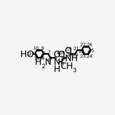 C[C@H](NC(=O)[C@@H](N)Cc1ccc(O)cc1)C(=O)NC(=O)CCc1ccccc1